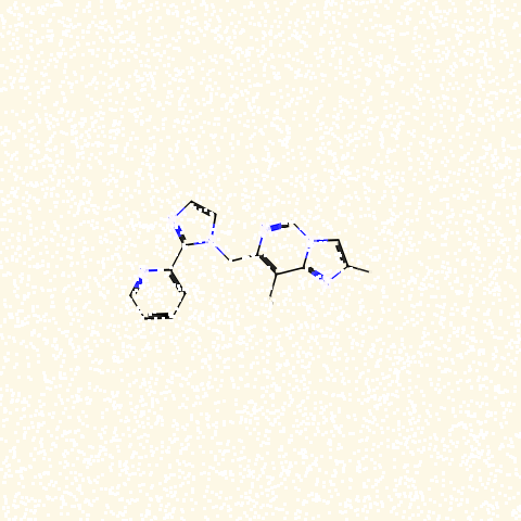 CCCc1c(Cn2ccnc2-c2ccccn2)ncn2cc(C(F)(F)F)nc12